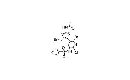 CC(=O)Nc1nc(CBr)c(-c2cc(NS(=O)(=O)c3ccccc3)c(Cl)nc2Br)s1